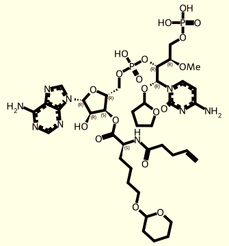 C=CCCC(=O)N[C@@H](CCCCOC1CCCCO1)C(=O)O[C@H]1[C@@H](O)[C@H](n2cnc3c(N)ncnc32)O[C@@H]1COP(=O)(O)O[C@@H]([C@@H](OC1CCCO1)n1ccc(N)nc1=O)[C@@H](COP(=O)(O)O)OC